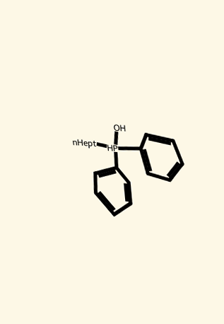 CCCCCCC[PH](O)(c1ccccc1)c1ccccc1